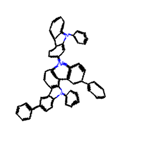 c1ccc(-c2ccc3c(c2)c2c(ccc4c5cc(-c6ccccc6)ccc5n(-c5ccccc5)c42)n3-c2ccc3c4ccccc4n(-c4ccccc4)c3c2)cc1